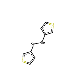 c1cc([Se][Se]c2ccsc2)cs1